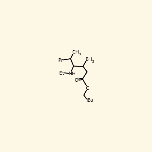 BC(CC(=O)OCC(C)CC)C(NCC)C(C)C(C)C